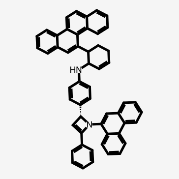 C1=CC(Nc2ccc([C@H]3C=C(c4ccccc4)N3c3cc4ccccc4c4ccccc34)cc2)C(c2cc3ccccc3c3ccc4ccccc4c23)CC1